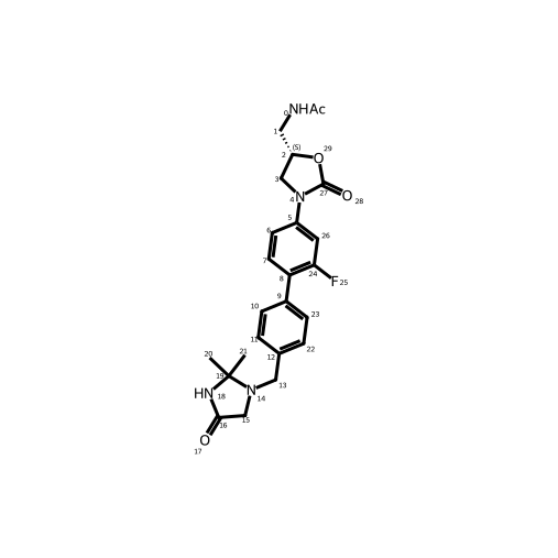 CC(=O)NC[C@H]1CN(c2ccc(-c3ccc(CN4CC(=O)NC4(C)C)cc3)c(F)c2)C(=O)O1